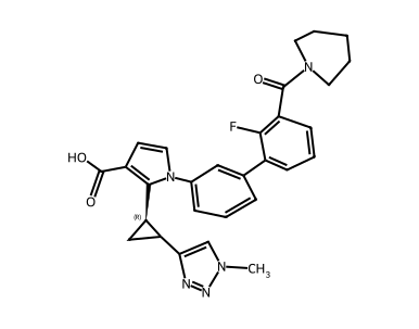 Cn1cc(C2C[C@H]2c2c(C(=O)O)ccn2-c2cccc(-c3cccc(C(=O)N4CCCCC4)c3F)c2)nn1